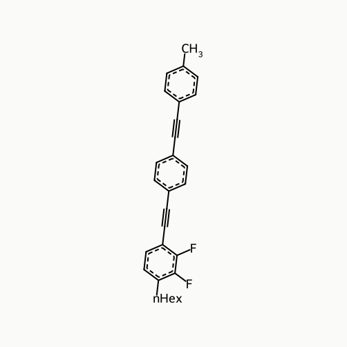 CCCCCCc1ccc(C#Cc2ccc(C#Cc3ccc(C)cc3)cc2)c(F)c1F